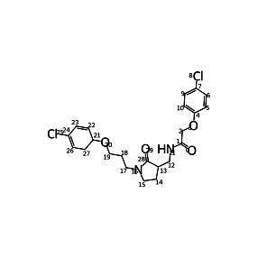 O=C(COc1ccc(Cl)cc1)NCC1CCN(CCCOC2C=CC(Cl)=CC2)C1=O